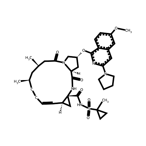 COc1ccc2c(O[C@@H]3C[C@H]4C(=O)N[C@]5(C(=O)NS(=O)(=O)C6(C)CC6)C[C@H]5/C=C\CC[C@@H](C)C[C@@H](C)CC(=O)N4C3)nc(N3CCCC3)cc2c1